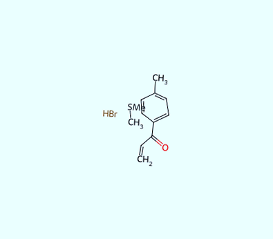 Br.C=CC(=O)c1ccc(C)cc1.CSC